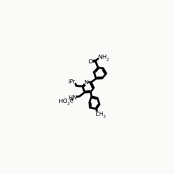 Cc1ccc(-c2cc(-c3cccc(C(N)=O)c3)nc(CC(C)C)c2CNC(=O)O)cc1